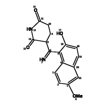 COc1ccc2c(C(=N)C3CCC(=O)NC3=O)c(O)ccc2c1